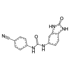 N#Cc1ccc(NC(=O)Nc2ccc3[nH]c(=O)[nH]c3c2)cc1